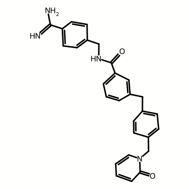 N=C(N)c1ccc(CNC(=O)c2cccc(Cc3ccc(Cn4ccccc4=O)cc3)c2)cc1